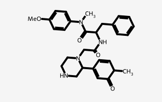 COc1ccc(N(C)C(=O)C(Cc2ccccc2)NC(=O)CN2CCNCC2C2=CC(=O)C(C)C=C2)cc1